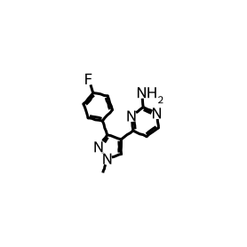 Cn1cc(-c2ccnc(N)n2)c(-c2ccc(F)cc2)n1